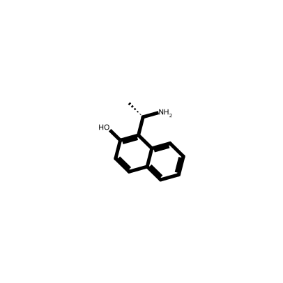 C[C@H](N)c1c(O)ccc2ccccc12